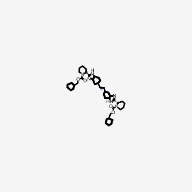 O=C(OCc1ccccc1)N1CCCC[C@H]1c1nc2cc(/C=C/c3ccc4[nH]c([C@@H]5CCCCN5C(=O)OCc5ccccc5)nc4c3)ccc2[nH]1